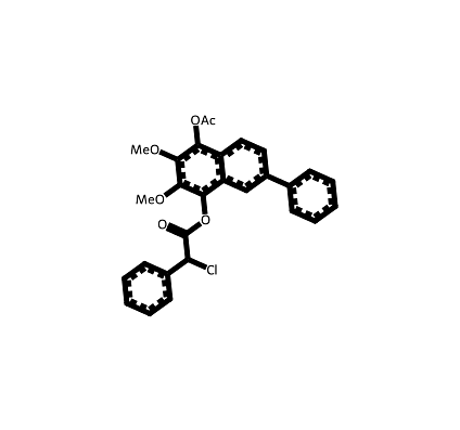 COc1c(OC)c(OC(=O)C(Cl)c2ccccc2)c2cc(-c3ccccc3)ccc2c1OC(C)=O